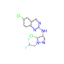 FC(F)Cn1ncc(Nc2ncc3cc(Cl)ccc3n2)c1Cl